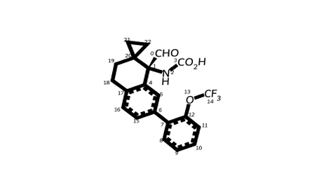 O=C[C@@]1(NC(=O)O)c2cc(-c3ccccc3OC(F)(F)F)ccc2CCC12CC2